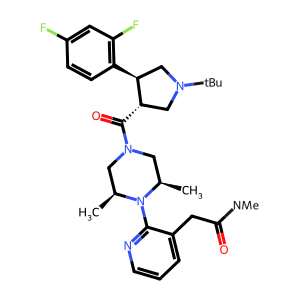 CNC(=O)Cc1cccnc1N1[C@H](C)CN(C(=O)[C@H]2CN(C(C)(C)C)C[C@@H]2c2ccc(F)cc2F)C[C@@H]1C